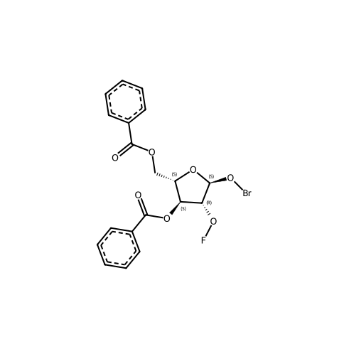 O=C(OC[C@@H]1O[C@@H](OBr)[C@H](OF)[C@H]1OC(=O)c1ccccc1)c1ccccc1